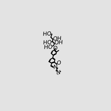 Cc1cc(-c2ccc3ccn(CCN(C)C)c(=O)c3c2)ccc1OC(O)C(O)C(O)C(O)CCO